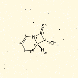 CC1C(=S)N2C=CCS[C@@H]12